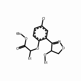 CCOC1CON=C1c1cc(Cl)ccc1OC(CC)C(=O)OC(C)(C)C